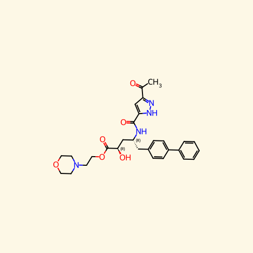 CC(=O)c1cc(C(=O)N[C@H](Cc2ccc(-c3ccccc3)cc2)C[C@@H](O)C(=O)OCCN2CCOCC2)[nH]n1